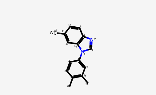 Cc1ccc(-n2cnc3ccc(C#N)cc32)cc1C